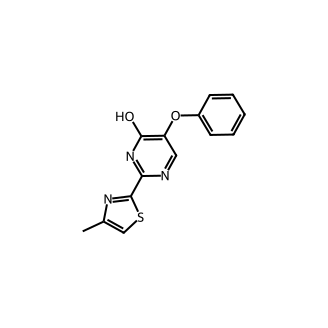 Cc1csc(-c2ncc(Oc3ccccc3)c(O)n2)n1